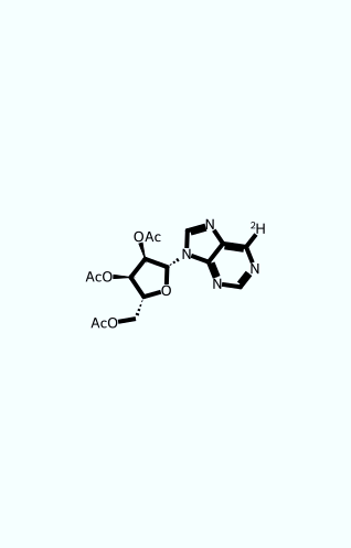 [2H]c1ncnc2c1ncn2[C@@H]1O[C@H](COC(C)=O)[C@@H](OC(C)=O)[C@H]1OC(C)=O